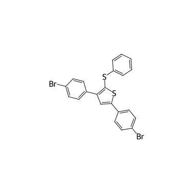 Brc1ccc(-c2cc(-c3ccc(Br)cc3)c(Sc3ccccc3)s2)cc1